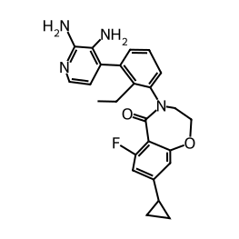 CCc1c(-c2ccnc(N)c2N)cccc1N1CCOc2cc(C3CC3)cc(F)c2C1=O